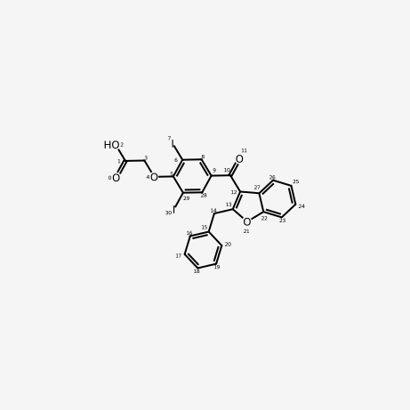 O=C(O)COc1c(I)cc(C(=O)c2c(Cc3ccccc3)oc3ccccc23)cc1I